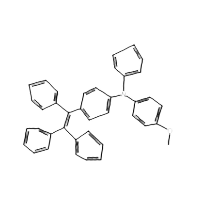 COc1ccc(N(c2c[c]ccc2)c2ccc(C(=C(c3ccccc3)c3ccccc3)c3ccccc3)cc2)cc1